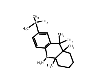 CC1(C)c2cc([Si](C)(C)C)ccc2N(N)C2(C)CCCCC12C